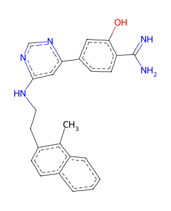 Cc1c(CCNc2cc(-c3ccc(C(=N)N)c(O)c3)ncn2)ccc2ccccc12